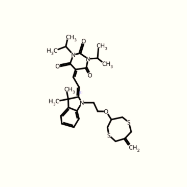 C=C1CSCC(OCCN2/C(=C/C=C3C(=O)N(C(C)C)C(=O)N(C(C)C)C3=O)C(C)(C)c3ccccc32)CSC1